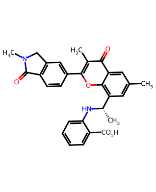 Cc1cc([C@H](C)Nc2ccccc2C(=O)O)c2oc(-c3ccc4c(c3)CN(C)C4=O)c(C)c(=O)c2c1